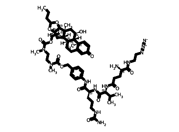 CCCC1O[C@@H]2C[C@H]3[C@@H]4CCC5=CC(=O)C=C[C@]5(C)[C@H]4[C@@H](O)C[C@]3(C)[C@]2(C(=O)COC(=O)N(C)CCN(C)C(=O)OCc2ccc(NC(=O)[C@H](CCCNC(N)=O)NC(=O)[C@@H](NC(=O)CC[C@@H](N)C(=O)NCCN=[N+]=[N-])C(C)C)cc2)O1